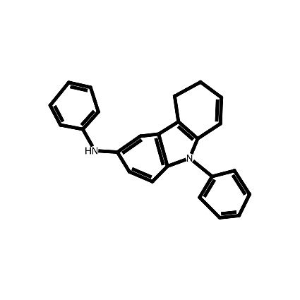 C1=Cc2c(c3cc(Nc4ccccc4)ccc3n2-c2ccccc2)CC1